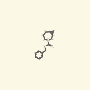 O=C(OCc1ccccc1)N1CCCC2=C=C2C1